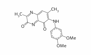 COc1ccc(NC2=C(C)C=C3N=C(C)C(=O)N=C3C2=O)cc1OC